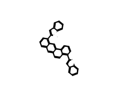 c1ccc2sc(-c3cccc4cc5ccc6c(-c7cc8ccccc8s7)cccc6c5cc34)cc2c1